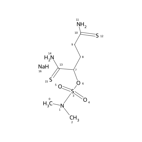 CN(C)S(=O)(=O)OC(CCC(N)=S)C(N)=S.[NaH]